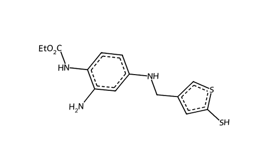 CCOC(=O)Nc1ccc(NCc2csc(S)c2)cc1N